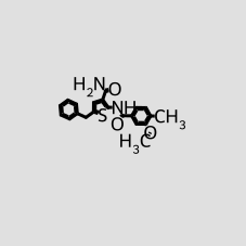 COc1cc(C(=O)Nc2sc(Cc3ccccc3)cc2C(N)=O)ccc1C